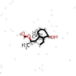 C[C@H](OC=O)[C@H]1CCC2[C@@H](O)CCC[C@@]21C